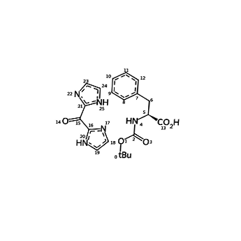 CC(C)(C)OC(=O)N[C@@H](Cc1ccccc1)C(=O)O.O=C(c1ncc[nH]1)c1ncc[nH]1